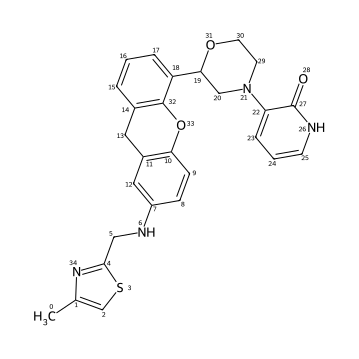 Cc1csc(CNc2ccc3c(c2)Cc2cccc(C4CN(c5ccc[nH]c5=O)CCO4)c2O3)n1